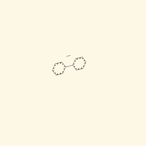 O=S(=O)(O)O.c1ccc(-c2ccccc2)cc1